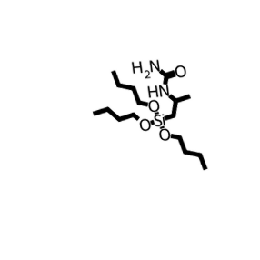 CCCCO[Si](CC(C)NC(N)=O)(OCCCC)OCCCC